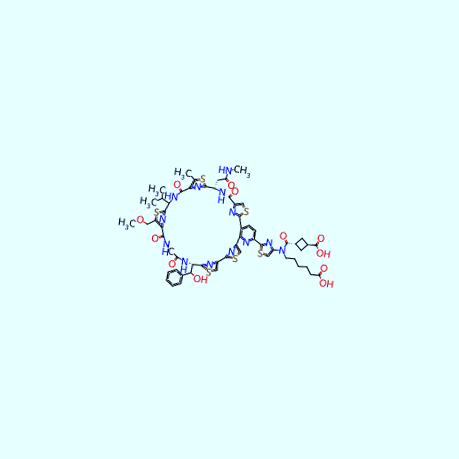 CNC(=O)C[C@@H]1NC(=O)c2csc(n2)-c2ccc(-c3nc(N(CCCCCC(=O)O)C(=O)[C@H]4C[C@H](C(=O)O)C4)cs3)nc2-c2csc(n2)-c2csc(n2)[C@H]([C@@H](O)c2ccccc2)NC(=O)CNC(=O)c2nc(sc2COC)C(C(C)C)NC(=O)c2nc1sc2C